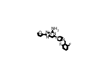 Nc1nc(N2CC3CC2CN3Cc2c(F)cccc2F)cc2nc(-c3ccco3)nn12